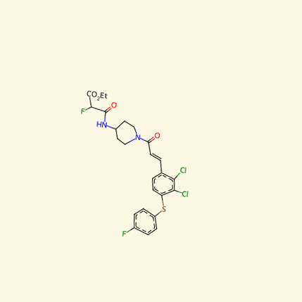 CCOC(=O)C(F)C(=O)NC1CCN(C(=O)C=Cc2ccc(Sc3ccc(F)cc3)c(Cl)c2Cl)CC1